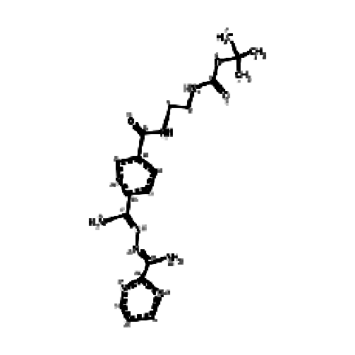 CC(C)(C)OC(=O)NCCNC(=O)c1ccc(/C(N)=N/N=C(\N)c2ncccn2)nc1